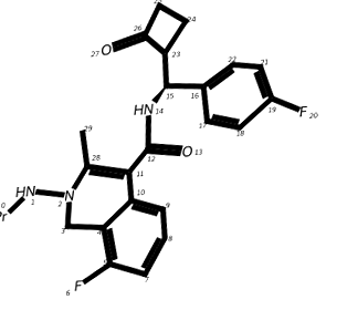 CCCNN1Cc2c(F)cccc2C(C(=O)N[C@H](c2ccc(F)cc2)C2CCC2=O)=C1C